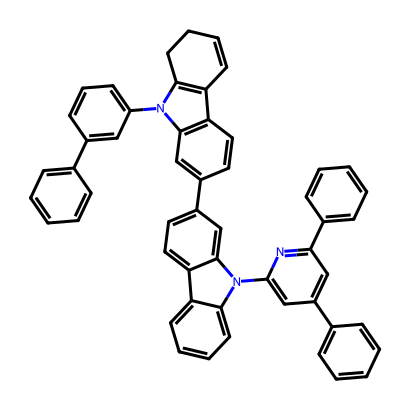 C1=Cc2c(n(-c3cccc(-c4ccccc4)c3)c3cc(-c4ccc5c6ccccc6n(-c6cc(-c7ccccc7)cc(-c7ccccc7)n6)c5c4)ccc23)CC1